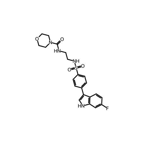 O=C(NCCNS(=O)(=O)c1ccc(-c2c[nH]c3cc(F)ccc23)cc1)N1CCOCC1